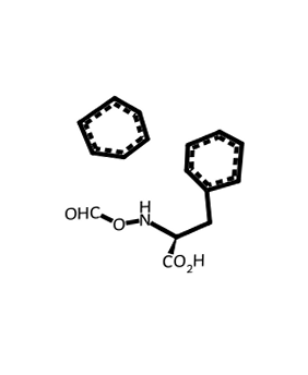 O=CON[C@@H](Cc1ccccc1)C(=O)O.c1ccccc1